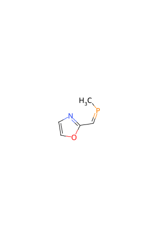 C/P=C\c1ncco1